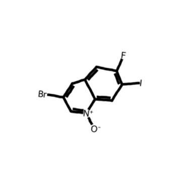 [O-][n+]1cc(Br)cc2cc(F)c(I)cc21